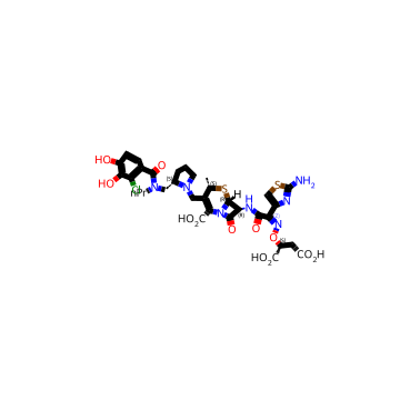 CCCN(C[C@@H]1CCCN1CC1=C(C(=O)O)N2C(=O)[C@@H](NC(=O)/C(=N\O[C@@H](CC(=O)O)C(=O)O)c3csc(N)n3)[C@H]2S[C@H]1C)C(=O)c1ccc(O)c(O)c1Cl